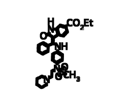 CCOC(=O)c1ccc2c(c1)NC(=O)C2=C(Nc1ccc(N(CCN2CCCCC2)S(C)(=O)=O)cc1)c1ccccc1